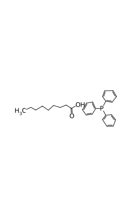 CCCCCCCCC(=O)O.c1ccc(P(c2ccccc2)c2ccccc2)cc1